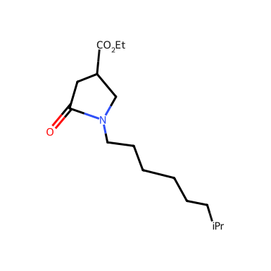 CCOC(=O)C1CC(=O)N(CCCCCCC(C)C)C1